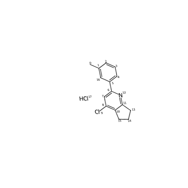 Cc1cccc(-c2cc(Cl)c3c(n2)CCC3)c1.Cl